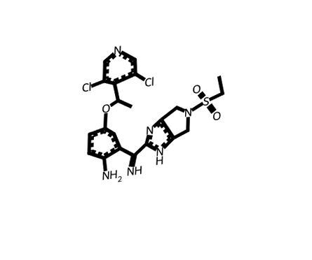 CCS(=O)(=O)N1Cc2nc(C(=N)c3cc(OC(C)c4c(Cl)cncc4Cl)ccc3N)[nH]c2C1